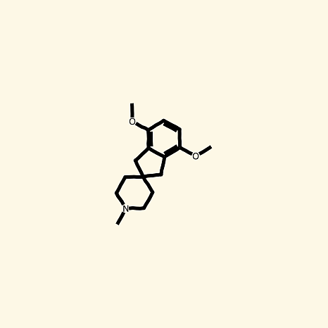 COc1ccc(OC)c2c1CC1(CCN(C)CC1)C2